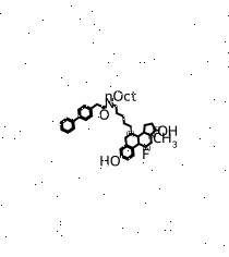 CCCCCCCCN(CCCCC[C@@H]1Cc2cc(O)ccc2C2C1C1CC[C@H](O)[C@@]1(C)C[C@@H]2F)C(=O)Cc1ccc(-c2ccccc2)cc1